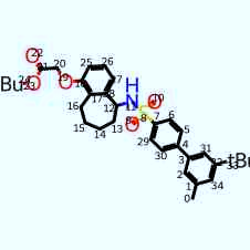 Cc1cc(-c2ccc(S(=O)(=O)NC3CCCCc4c(OCC(=O)OC(C)(C)C)cccc43)cc2)cc(C(C)(C)C)c1